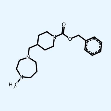 CN1CCCN(CC2CCN(C(=O)OCc3ccccc3)CC2)CC1